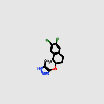 O=C(O)c1[nH]nnc1O[C@@H]1CCc2cc(Cl)c(Cl)cc2C1